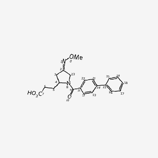 CO/N=C1/CC(CCC(=O)O)N(C(=O)c2ccc(-c3ccccc3)cc2)C1